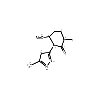 COC1CCN(C)C(=O)N1c1nnc(C(F)(F)F)s1